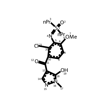 CCCS(=O)(CCC)=Nc1c(OC)ccc(C(=O)c2cnn(C)c2O)c1Cl